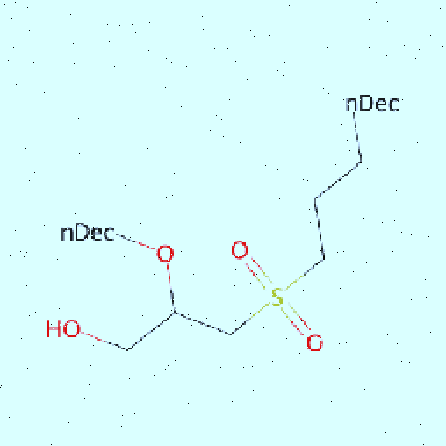 CCCCCCCCCCCCCS(=O)(=O)CC(CO)OCCCCCCCCCC